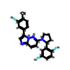 N#Cc1ccc(-c2cnc3ccc(N4CCCC4c4cc(F)ccc4F)nn23)cc1F